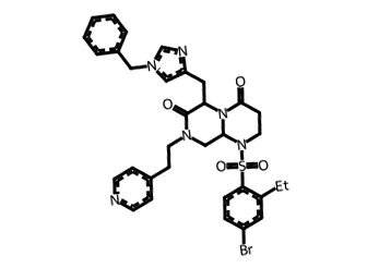 CCc1cc(Br)ccc1S(=O)(=O)N1CCC(=O)N2C(Cc3cn(Cc4ccccc4)cn3)C(=O)N(CCc3ccncc3)CC21